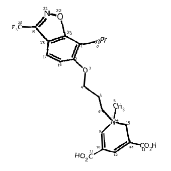 CCCc1c(OCCC[N+]2(C)C=C(C(=O)O)C=C(C(=O)O)C2)ccc2c(C(F)(F)F)noc12